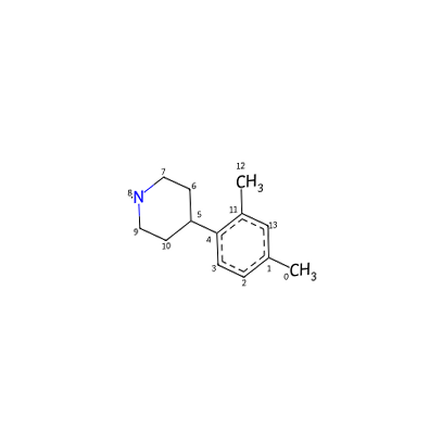 Cc1ccc(C2CC[N]CC2)c(C)c1